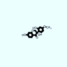 COc1ccc([C@@]2(O)COc3cc(O)ccc3C2=O)c(O)c1